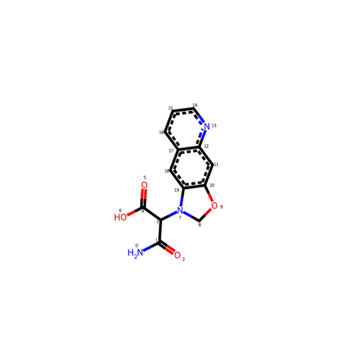 NC(=O)C(C(=O)O)N1COc2cc3ncccc3cc21